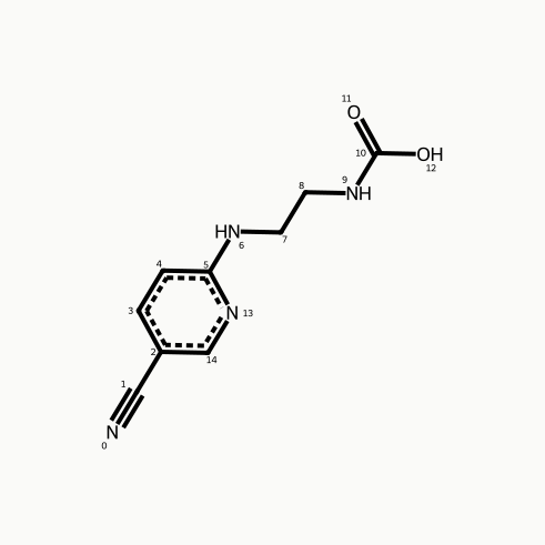 N#Cc1ccc(NCCNC(=O)O)nc1